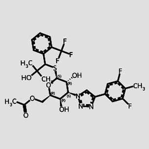 CC(=O)OC[C@H]1O[C@@H](SC(c2ccccc2C(F)(F)F)C(C)(C)O)[C@H](O)[C@@H](n2cc(-c3cc(F)c(C)c(F)c3)nn2)[C@H]1O